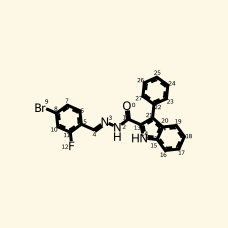 O=C(NN=Cc1ccc(Br)cc1F)c1[nH]c2ccccc2c1-c1ccccc1